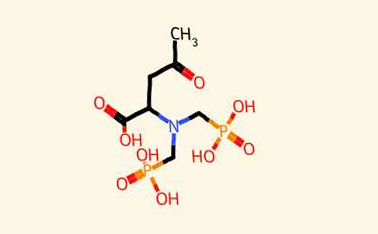 CC(=O)CC(C(=O)O)N(CP(=O)(O)O)CP(=O)(O)O